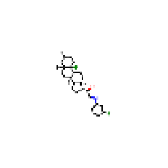 C[C@H]1CC[C@]2(F)C3CC[C@@]4(C)C(CC[C@@H]4C(=O)CNc4cccc(F)c4)[C@@H]3CC[C@@H]2C1